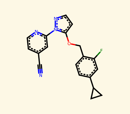 N#Cc1ccnc(-n2nccc2OCc2ccc(C3CC3)cc2F)c1